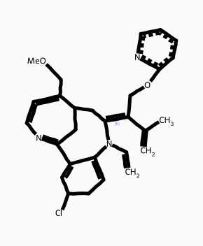 C=CN1C2=CCC(Cl)C=C2C2=NC=C=C(COC)C(C2)C/C1=C(\COc1ccccn1)C(=C)C